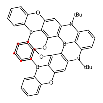 CC(C)(C)N1c2cccc3c2B(c2c1cc1c4c2Oc2ccccc2B4c2ccccc2O1)c1c(cc2c4c1Oc1ccccc1B4c1ccccc1O2)N3C(C)(C)C